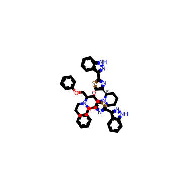 O=C(C(COc1ccccc1)N1CCCC[C@@H]1c1csc(-c2n[nH]c3ccccc23)n1)C(COc1ccccc1)N1CCCC[C@@H]1c1csc(-c2n[nH]c3ccccc23)n1